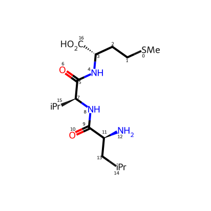 CSCC[C@H](NC(=O)[C@@H](NC(=O)[C@@H](N)CC(C)C)C(C)C)C(=O)O